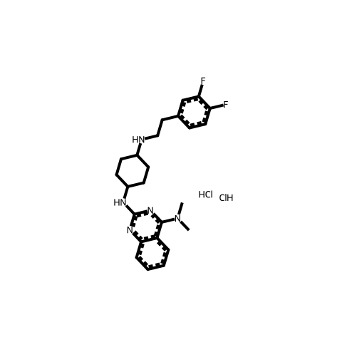 CN(C)c1nc(NC2CCC(NCCc3ccc(F)c(F)c3)CC2)nc2ccccc12.Cl.Cl